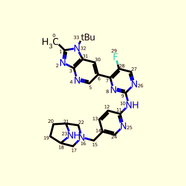 Cc1nc2ncc(-c3nc(Nc4ccc(CN5CC6CCC(C5)N6)cn4)ncc3F)cc2n1C(C)(C)C